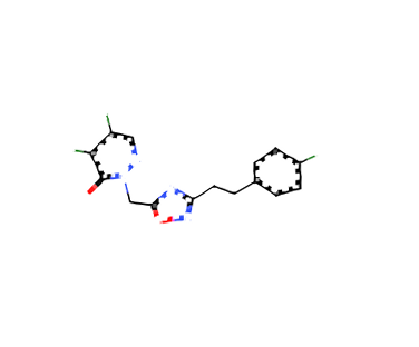 O=c1c(Cl)c(Cl)cnn1Cc1nc(CCc2ccc(Cl)cc2)no1